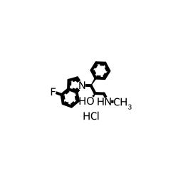 CNC[C@@H](O)[C@H](c1ccccc1)n1ccc2c(F)cccc21.Cl